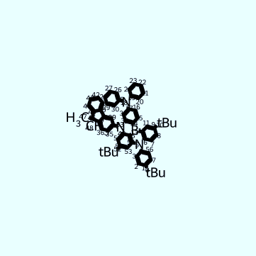 CC(C)(C)c1ccc(N2c3ccc(C(C)(C)C)cc3B3c4ccc(N(c5ccccc5)c5ccccc5)cc4N(c4ccc5c(c4)-c4ccccc4C5(C)C)c4cc(C(C)(C)C)cc2c43)cc1